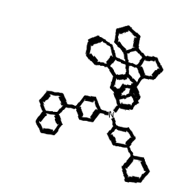 Cc1ccc2c(c1)C1(C3=C2C=CC#CC3)c2ccccc2-c2cccc(-c3ccc(N(c4ccc(-c5ccccc5)cc4)c4ccc(-c5cccc6ccccc56)cc4)cc3)c21